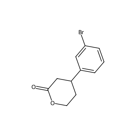 O=C1CC(c2cccc(Br)c2)CCO1